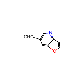 O=Cc1cnc2ccoc2c1